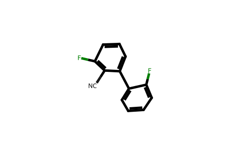 N#Cc1c(F)cccc1-c1ccccc1F